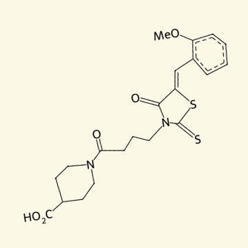 COc1ccccc1/C=C1\SC(=S)N(CCCC(=O)N2CCC(C(=O)O)CC2)C1=O